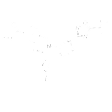 COC(=O)C12CCC(CN(C(=O)C34CC(F)(C3)C4)c3cccc(-c4noc(C5(C)CC5)n4)c3)(CC1)CC2